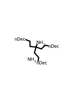 CCCCCCCCCCCCC(N)(CCCCCCCCCCCC)CCCCCCCCCCCC.N